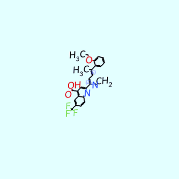 C=N/C(=C\C=C(/C)c1ccccc1OCC)c1cc(C(=O)O)c2cc(C(F)(F)F)ccc2n1